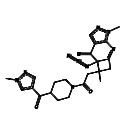 Cn1cc(C(=O)C2CCN(C(=O)CC3(C)CC4=Nc5c(cnn5C)C(=O)C43N=[N+]=[N-])CC2)cn1